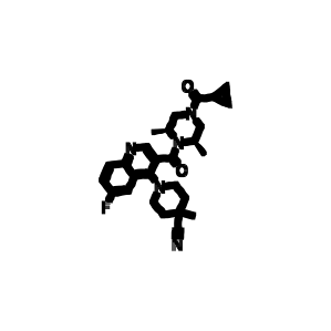 C[C@@H]1CN(C(=O)C2CC2)C[C@H](C)N1C(=O)c1cnc2ccc(F)cc2c1N1CCC(C)(C#N)CC1